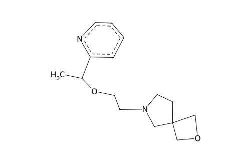 CC(OCCN1CCC2(COC2)C1)c1ccccn1